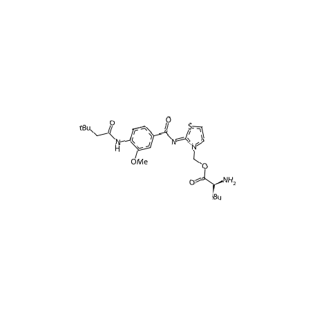 CC[C@H](C)[C@H](N)C(=O)OCn1ccsc1=NC(=O)c1ccc(NC(=O)CC(C)(C)C)c(OC)c1